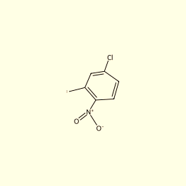 [CH]c1cc(Cl)ccc1[N+](=O)[O-]